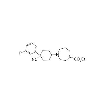 CCOC(=O)N1CCCN(C2CCC(C#N)(c3cccc(F)c3)CC2)CC1